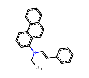 CCN(C=Cc1ccccc1)c1cccc2c1ccc1ccccc12